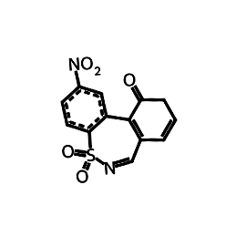 O=C1CC=CC2=C1c1cc([N+](=O)[O-])ccc1S(=O)(=O)N=C2